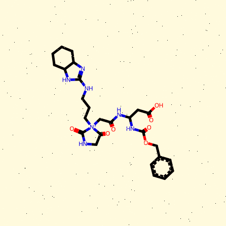 O=C(O)CC(NC(=O)C[N+]1(CCCNC2=NC3CCCCC3N2)C(=O)CNC1=O)NC(=O)OCc1ccccc1